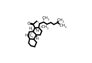 C=C(C)CCC[C@@H](C)[C@H]1CC(=O)[C@H]2[C@@H]3CCC4CCCC[C@]4(C)[C@H]3CC[C@]12C